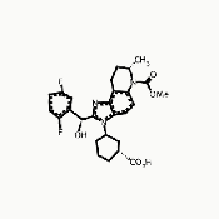 COC(=O)N1c2ccc3c(nc([C@@H](O)c4cc(F)ccc4F)n3[C@@H]3CCC[C@@H](C(=O)O)C3)c2CC[C@@H]1C